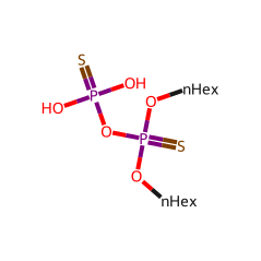 CCCCCCOP(=S)(OCCCCCC)OP(O)(O)=S